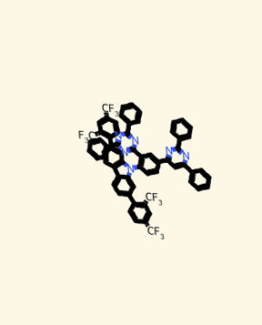 FC(F)(F)c1ccc(-c2ccc3c4ccc(-c5ccc(C(F)(F)F)cc5C(F)(F)F)cc4n(-c4ccc(-c5cc(-c6ccccc6)nc(-c6ccccc6)n5)cc4-c4nc(-c5ccccc5)nc(-c5ccccc5)n4)c3c2)c(C(F)(F)F)c1